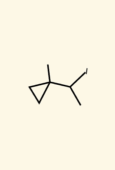 CC(I)C1(C)CC1